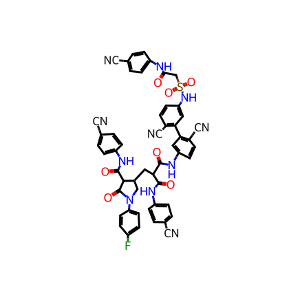 N#Cc1ccc(NC(=O)CS(=O)(=O)Nc2ccc(C#N)c(-c3cc(NC(=O)C(CC4CN(c5ccc(F)cc5)C(=O)C4C(=O)Nc4ccc(C#N)cc4)C(=O)Nc4ccc(C#N)cc4)ccc3C#N)c2)cc1